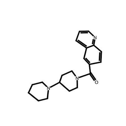 O=C(c1ccc2ncccc2c1)N1CCC(N2CCCCC2)CC1